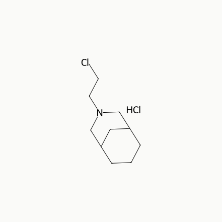 Cl.ClCCN1CC2CCCC(C2)C1